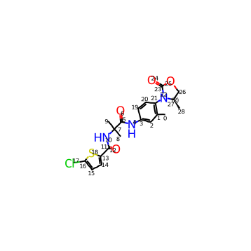 Cc1cc(NC(=O)C(C)(C)NC(=O)c2ccc(Cl)s2)ccc1N1C(=O)OC[C@H]1C